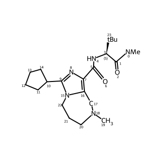 CNC(=O)[C@@H](NC(=O)c1nc(C2CCCC2)n2c1CN(C)CCC2)C(C)(C)C